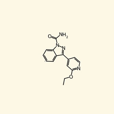 CCOc1cc(-c2nn(C(N)=O)c3cc[c]cc23)ccn1